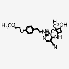 COCCOc1ccc(CCNc2ncc(C#N)c(N[C@@H]3C[C@H](O)C3(C)C)n2)cc1